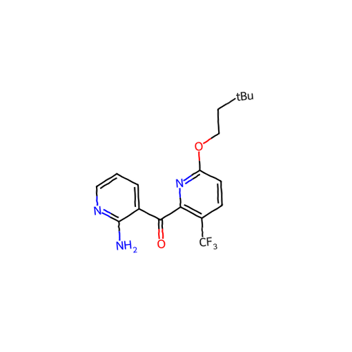 CC(C)(C)CCOc1ccc(C(F)(F)F)c(C(=O)c2cccnc2N)n1